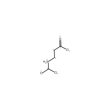 O=C(Cl)CC[SiH2]C(Cl)Cl